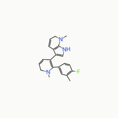 Cc1cc(C2=C(c3c[nH]c4c3C=CCN4C)C=CCN2C)ccc1F